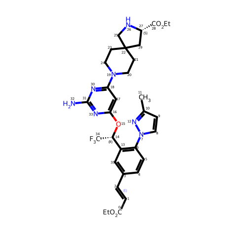 CCOC(=O)/C=C/c1ccc(-n2ccc(C)n2)c([C@@H](Oc2cc(N3CCC4(CC3)CN[C@H](C(=O)OCC)C4)nc(N)n2)C(F)(F)F)c1